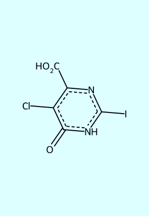 O=C(O)c1nc(I)[nH]c(=O)c1Cl